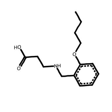 CCCCOc1ccccc1CNCCC(=O)O